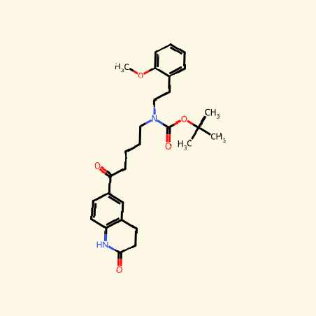 COc1ccccc1CCN(CCCCC(=O)c1ccc2c(c1)CCC(=O)N2)C(=O)OC(C)(C)C